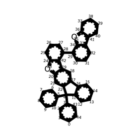 c1ccc(C2(c3ccccc3)c3ccccc3-c3cc4c(cc32)oc2cccc(-c3cccc5c3oc3ccccc35)c24)cc1